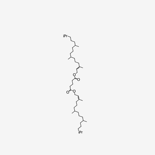 CC(=CCOC(=O)CCCC(=O)OCC=C(C)CCCC(C)CCCC(C)CCCC(C)C)CCCC(C)CCCC(C)CCCC(C)C